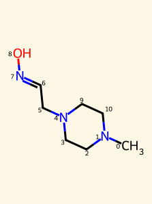 CN1CCN(CC=NO)CC1